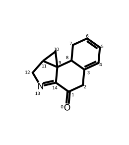 O=C1CC2=CC=CCC2C23CC2CN=C13